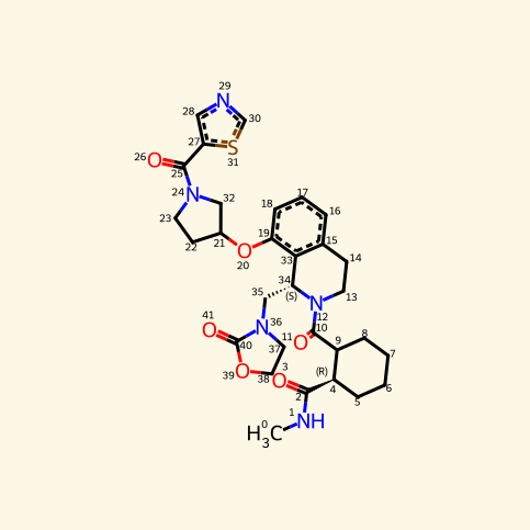 CNC(=O)[C@@H]1CCCCC1C(=O)N1CCc2cccc(OC3CCN(C(=O)c4cncs4)C3)c2[C@H]1CN1CCOC1=O